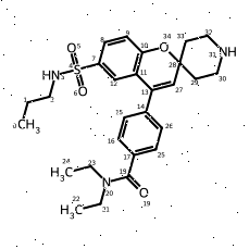 CCCNS(=O)(=O)c1ccc2c(c1)C(c1ccc(C(=O)N(CC)CC)cc1)=CC1(CCNCC1)O2